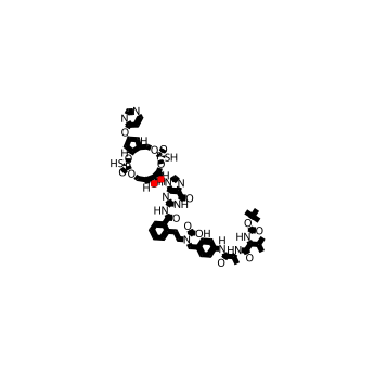 CC(NC(=O)C(NC(=O)OC(C)(C)C)C(C)C)C(=O)Nc1ccc(CN(CCc2ccccc2C(=O)Nc2nc3c(ncn3[C@@H]3O[C@@H]4CO[P@@](=O)(S)O[C@H]5C[C@H](Oc6ccncn6)C[C@@H]5CO[P@@](=O)(S)O[C@@H]3[C@@H]4O)c(=O)[nH]2)C(=O)O)cc1